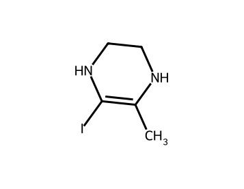 CC1=C(I)NCCN1